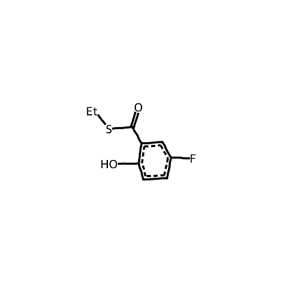 CCSC(=O)c1cc(F)ccc1O